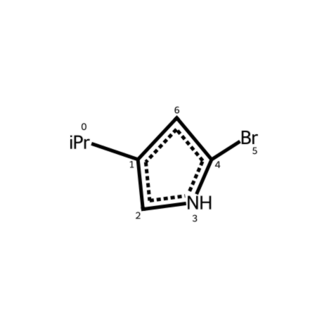 CC(C)c1c[nH]c(Br)c1